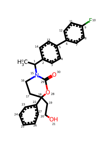 CC(c1ccc(-c2ccc(F)cc2)cc1)N1CCC(CCO)(c2ccccc2)OC1=O